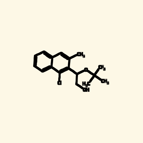 Cc1cc2ccccc2c(Cl)c1C(CO)OC(C)(C)C(F)(F)F